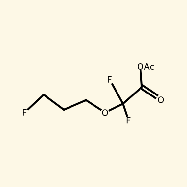 CC(=O)OC(=O)C(F)(F)OCCCF